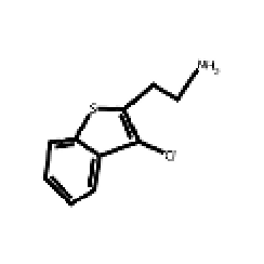 NCCc1sc2ccccc2c1Cl